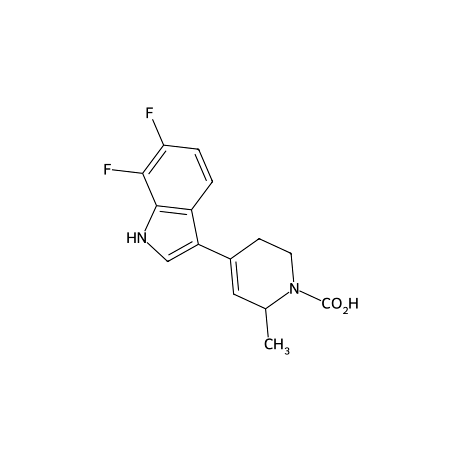 CC1C=C(c2c[nH]c3c(F)c(F)ccc23)CCN1C(=O)O